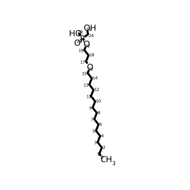 CCCCCCCCCCCCCCCCOCCCOP(=O)(O)CO